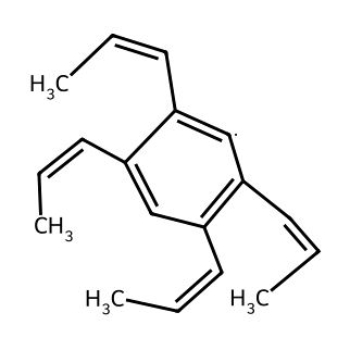 C/C=C\c1[c]c(/C=C\C)c(/C=C\C)cc1/C=C\C